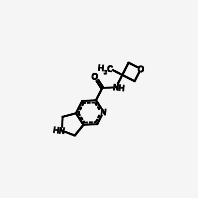 CC1(NC(=O)c2cc3c(cn2)CNC3)COC1